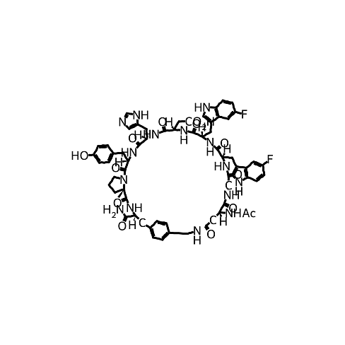 CC(=O)N[C@@H]1CC(=O)NCc2ccc(cc2)C[C@@H](C(N)=O)NC(=O)[C@]2(C)CCCN2C(=O)[C@H](Cc2ccc(O)cc2)NC(=O)[C@H](Cc2cnc[nH]2)NC(=O)[C@H](CC(=O)O)NC(=O)[C@H](Cc2c[nH]c3ccc(F)cc23)NC(=O)[C@H](Cc2c[nH]c3ccc(F)cc23)NC(=O)CNC1=O